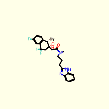 CC(C)[C@H]1c2ccc(F)cc2C(F)(F)C[C@]1(O)CC(=O)N(C)CCCc1nc2ccccc2[nH]1